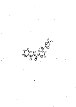 CC(C)(C)OC(=O)NC1CCOC(C(=O)NNc2ccccn2)C1